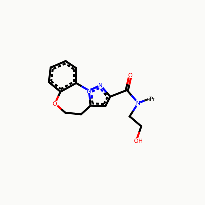 CC(C)N(CCO)C(=O)c1cc2n(n1)-c1ccccc1OCC2